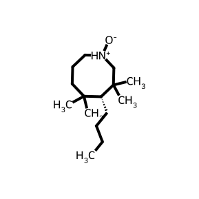 CCCC[C@@H]1C(C)(C)CCC[NH+]([O-])CC1(C)C